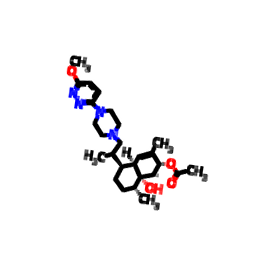 COc1ccc(N2CCN(CC(C)[C@@H]3CC[C@@H](C)[C@]4(O)[CH][C@@H](OC(C)=O)C(C)=C[C@H]34)CC2)nn1